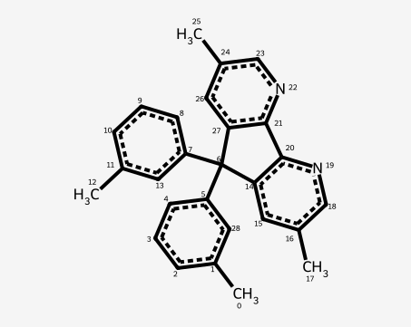 Cc1cccc(C2(c3cccc(C)c3)c3cc(C)cnc3-c3ncc(C)cc32)c1